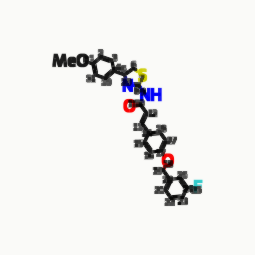 COc1ccc(C2CSC(NC(=O)/C=C/c3ccc(OCc4cccc(F)c4)cc3)=N2)cc1